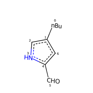 CCCCc1c[nH]c(C=O)c1